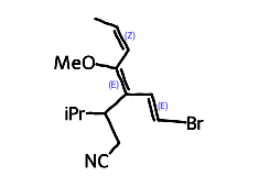 C\C=C/C(OC)=C(\C=C\Br)C(CC#N)C(C)C